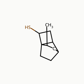 CC1CC2CCC13C(S)CC23